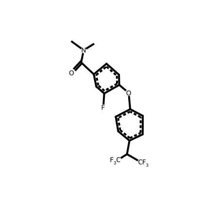 CN(C)C(=O)c1ccc(Oc2ccc(C(C(F)(F)F)C(F)(F)F)cc2)c(F)c1